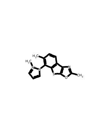 Cc1nc2c(o1)sc1c(-n3ccc[n+]3C)c(C)ccc12